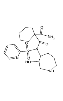 NC(=O)C1(C(=O)N(C2CCCNCC2O)S(=O)(=O)c2ccccn2)CCCCC1